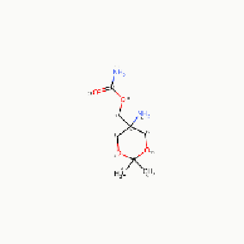 CC1(C)OCC(N)(COC(N)=O)CO1